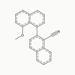 COc1cccc2cc[c]c(-c3ccc4ccccc4c3C#N)c12